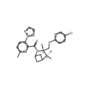 Cc1ccc(-n2nccn2)c(C(=O)N2C3CC(C3)[C@H](C)[C@H]2COc2ccc(Cl)cn2)n1